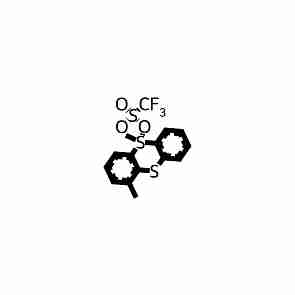 Cc1cccc2c1Sc1ccccc1S2(C)OS(=O)(=O)C(F)(F)F